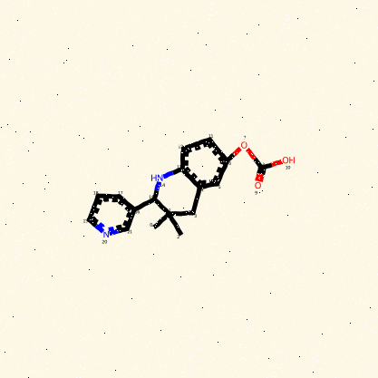 CC1(C)Cc2cc(OC(=O)O)ccc2NC1c1cccnc1